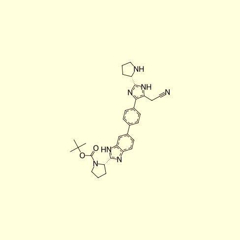 CC(C)(C)OC(=O)N1CCC[C@H]1c1nc2ccc(-c3ccc(-c4nc([C@@H]5CCCN5)[nH]c4CC#N)cc3)cc2[nH]1